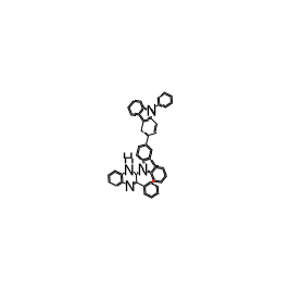 C1=CC(c2ccc3c(c2)c2ccccc2n3C2Nc3ccccc3N=C2c2ccccc2)Cc2c1n(-c1ccccc1)c1ccccc21